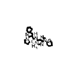 CC(Nc1ncnc2c1ncn2C1CCCCO1)c1cc2ccccc2nc1N1CCCC1